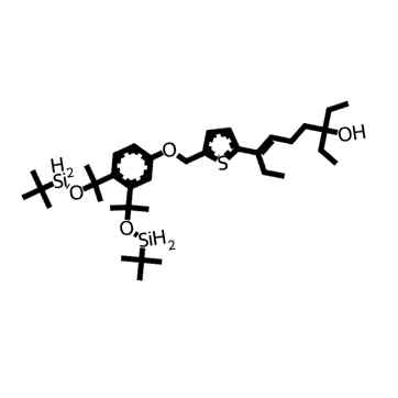 CCC(=CCCC(O)(CC)CC)c1ccc(COc2ccc(C(C)(C)O[SiH2]C(C)(C)C)c(C(C)(C)O[SiH2]C(C)(C)C)c2)s1